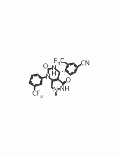 CN1CC2=C(C(=O)N1)[C@@H](c1ccc(C#N)cc1C(F)(F)F)NC(=O)N2c1cccc(C(F)(F)F)c1